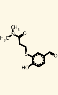 CN(C)C(=O)CCSc1cc(C=O)ccc1O